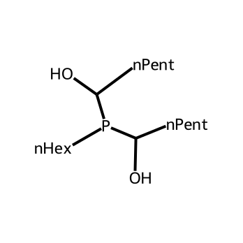 CCCCCCP(C(O)CCCCC)C(O)CCCCC